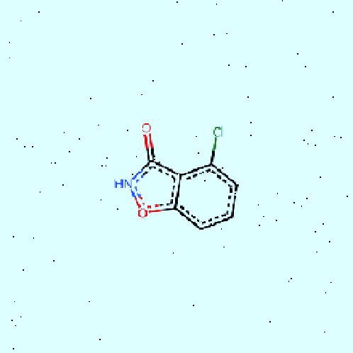 O=c1[nH]oc2cccc(Cl)c12